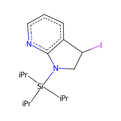 CC(C)[Si](C(C)C)(C(C)C)N1CC(I)c2cccnc21